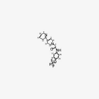 O=C(CN1CC=C(C2=NCC=CC2)CC1)Nc1ccc(OC(F)(F)F)cc1